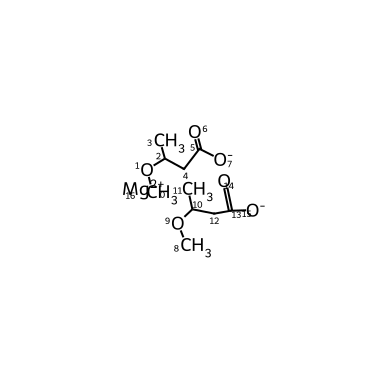 COC(C)CC(=O)[O-].COC(C)CC(=O)[O-].[Mg+2]